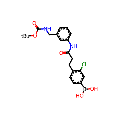 CC(C)(C)OC(=O)NCc1cccc(NC(=O)CCc2ccc(B(O)O)cc2Cl)c1